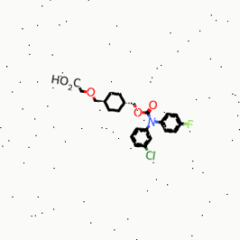 O=C(O)COC[C@H]1CC[C@H](COC(=O)N(c2ccc(F)cc2)c2cccc(Cl)c2)CC1